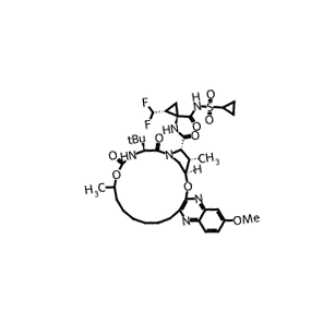 COc1ccc2nc3c(nc2c1)O[C@H]1CN(C(=O)[C@H](C(C)(C)C)NC(=O)OC(C)CCCCCC3)[C@H](C(=O)N[C@]2(C(=O)NS(=O)(=O)C3CC3)C[C@H]2C(F)F)[C@@H]1C